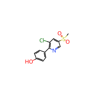 CS(=O)(=O)c1cnc(-c2ccc(O)cc2)c(Cl)c1